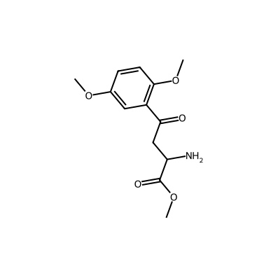 COC(=O)C(N)CC(=O)c1cc(OC)ccc1OC